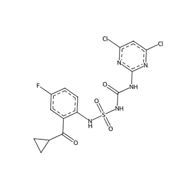 O=C(Nc1nc(Cl)cc(Cl)n1)NS(=O)(=O)Nc1ccc(F)cc1C(=O)C1CC1